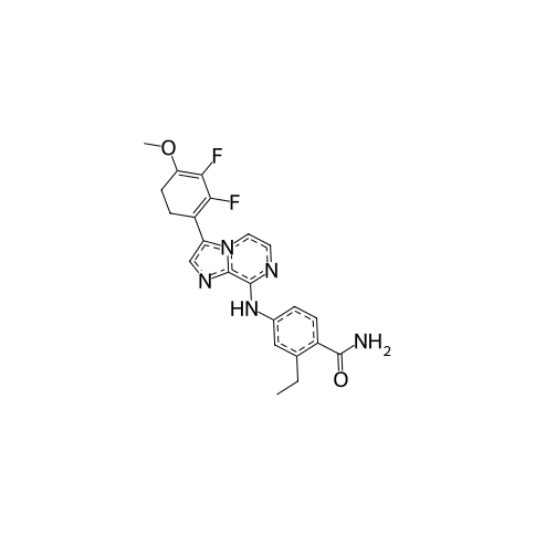 CCc1cc(Nc2nccn3c(C4=C(F)C(F)=C(OC)CC4)cnc23)ccc1C(N)=O